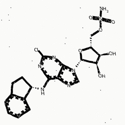 NS(=O)(=O)OC[C@H]1O[C@@H](n2cnc3c(N[C@H]4CCc5ccccc54)nc(Cl)nc32)[C@H](O)[C@@H]1O